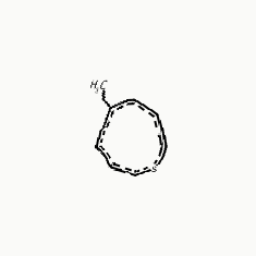 Cc1ccccsccc1